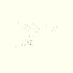 Cn1ncc2cc(-c3c(Cl)n(COCC[Si](C)(C)C)c4ncc5c(c34)n([C@H]3C[C@@H](NC(=O)OC(C)(C)C)C3)c(=O)n5C)ccc21